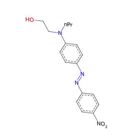 CCCN(CCO)c1ccc(N=Nc2ccc([N+](=O)[O-])cc2)cc1